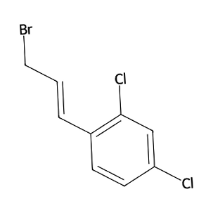 Clc1ccc(/C=C/CBr)c(Cl)c1